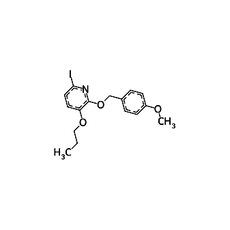 CCCOc1ccc(I)nc1OCc1ccc(OC)cc1